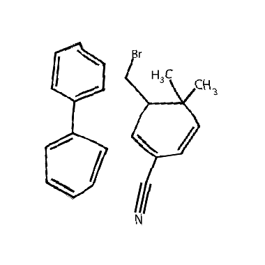 CC1(C)C=CC(C#N)=CC1CBr.c1ccc(-c2ccccc2)cc1